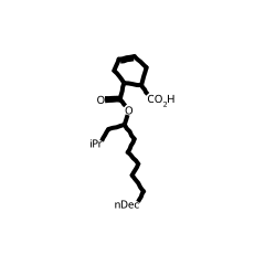 CCCCCCCCCCCCCCCC(CC(C)C)OC(=O)C1CC=CCC1C(=O)O